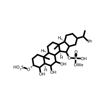 COP(=O)(O)OC1C2CC(C(C)C(C)C)CC[C@@H]2C2(C)CC[C@H]3C(C(O)C(O)[C@H]4C(O)[C@H](OS(=O)(=O)O)CCC43C)[C@H]12